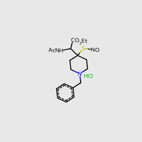 CCOC(=O)C(NC(C)=O)C1(SN=O)CCN(Cc2ccccc2)CC1.Cl